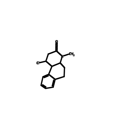 CN1C(=O)CC(Cl)C2c3ccccc3CCC21